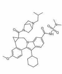 COc1ccc2c(c1)C1CC1(C(=O)N1CC3CC1CN3CC(C)C)Cn1c-2c(C2CCCCC2)c2ccc(C(=O)NS(=O)(=O)N(C)C)cc21